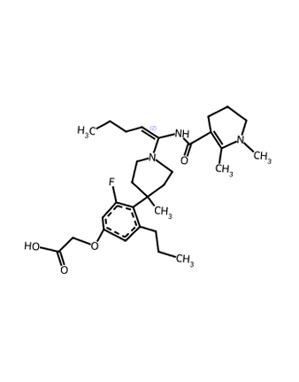 CCC/C=C(/NC(=O)C1=C(C)N(C)CCC1)N1CCC(C)(c2c(F)cc(OCC(=O)O)cc2CCC)CC1